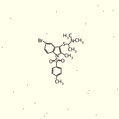 Cc1ccc(S(=O)(=O)n2c(C)c(SC(C)N(C)C)c3cc(Br)ccc32)cc1